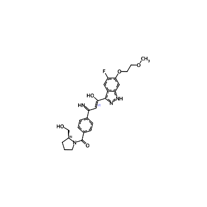 COCCOc1cc2[nH]nc(/C(O)=C/C(=N)c3ccc(C(=O)N4CCC[C@H]4CO)cc3)c2cc1F